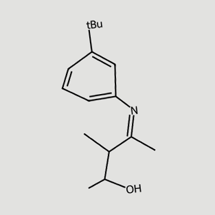 CC(=Nc1cccc(C(C)(C)C)c1)C(C)C(C)O